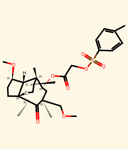 COC[C@]1(C)C[C@@H](OC(=O)COS(=O)(=O)c2ccc(C)cc2)[C@]2(C)[C@H](C)CC[C@]3(CC[C@@H](OC)[C@@H]32)[C@@H](C)C1=O